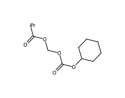 CC(C)C(=O)OCOC(=O)OC1CCCCC1